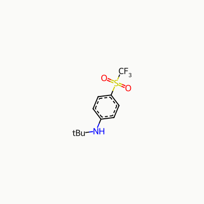 CC(C)(C)Nc1ccc(S(=O)(=O)C(F)(F)F)cc1